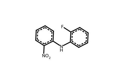 O=[N+]([O-])c1ccccc1Nc1ccccc1F